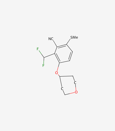 CSc1ccc(OC2CCOCC2)c(C(F)F)c1C#N